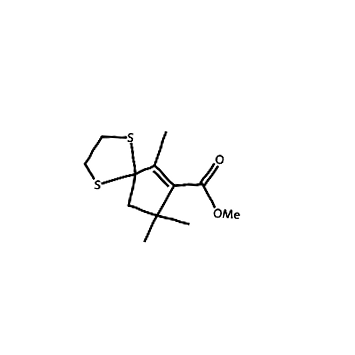 COC(=O)C1=C(C)C2(CC1(C)C)SCCS2